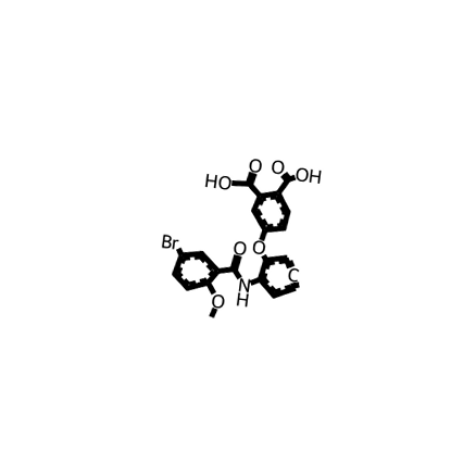 COc1ccc(Br)cc1C(=O)Nc1ccccc1Oc1ccc(C(=O)O)c(C(=O)O)c1